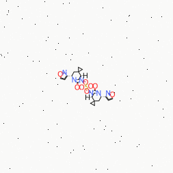 O=C1N2C[C@H](N1OS(=O)(=O)ON1C(=O)N3C[C@H]1C1(CC1)C[C@H]3c1ccon1)C1(CC1)C[C@H]2c1ccon1